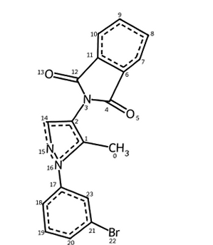 Cc1c(N2C(=O)c3ccccc3C2=O)cnn1-c1cccc(Br)c1